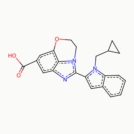 O=C(O)c1cc2c3c(c1)nc(-c1cc4ccccc4n1CC1CC1)n3CCO2